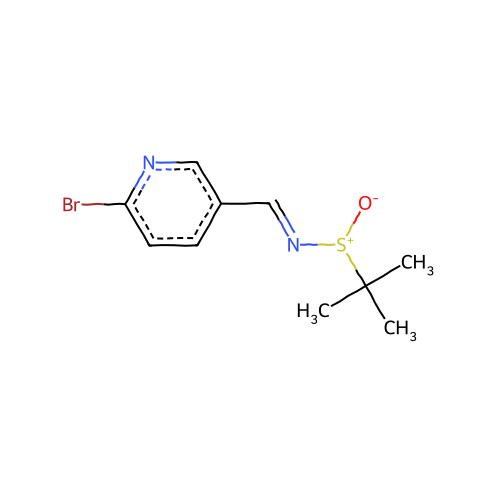 CC(C)(C)[S+]([O-])/N=C/c1ccc(Br)nc1